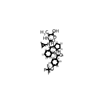 C[C@H](NC(=O)N(C1CC1)[C@H]1c2ccccc2N(C(=O)c2ccc(OC(F)(F)F)cc2)[C@@H]2CCC[C@@H]21)C(=O)O